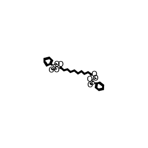 O=C(CCCCCCCCC(=O)OS(=O)(=O)c1ccccc1)OS(=O)(=O)c1ccccc1